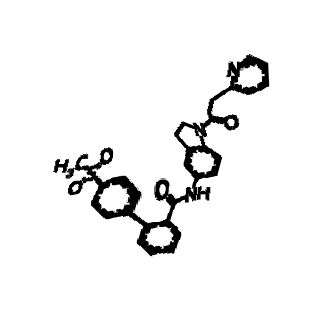 CS(=O)(=O)c1ccc(-c2ccccc2C(=O)Nc2ccc3c(c2)CCN3C(=O)Cc2ccccn2)cc1